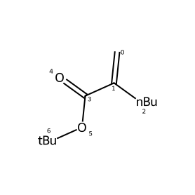 C=C(CCCC)C(=O)OC(C)(C)C